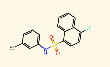 CCc1cccc(NS(=O)(=O)c2ccc(F)c3ccccc23)c1